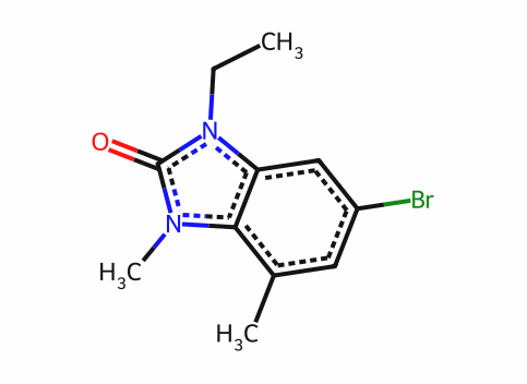 CCn1c(=O)n(C)c2c(C)cc(Br)cc21